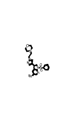 O=S(=O)(c1ccccc1)N1CC(c2cnn(CCN3CCOCC3)c2)c2cc(Br)cnc21